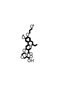 CCC1Cc2cc(OCCCOC)c(OC)cc2-c2cc(=O)c(C(=O)N3CCOCC3C(=O)O)cn21